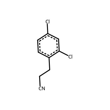 N#CCCc1ccc(Cl)cc1Cl